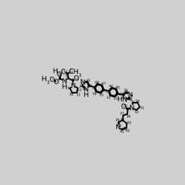 COC(=O)N[C@H](C(=O)N1CCC[C@H]1c1ncc(-c2ccc(-c3ccc(-c4cnc([C@@H]5CCCN5C(=O)CCC5C=NC=CC5)[nH]4)cc3)cc2)[nH]1)C(C)C